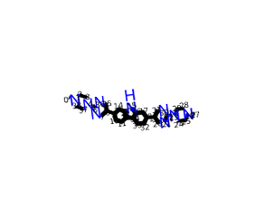 CN1CCN(c2ncc(-c3ccc4c(c3)[nH]c3cc(-c5cnc(N6CCN(C)CC6)nc5)ccc34)cn2)CC1